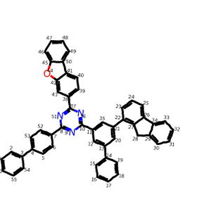 c1ccc(-c2ccc(-c3nc(-c4cc(-c5ccccc5)cc(-c5cccc6c5Cc5ccccc5-6)c4)nc(-c4ccc5c(c4)oc4ccccc45)n3)cc2)cc1